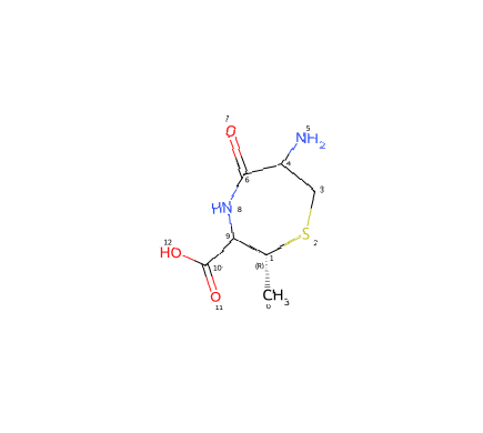 C[C@H]1SCC(N)C(=O)NC1C(=O)O